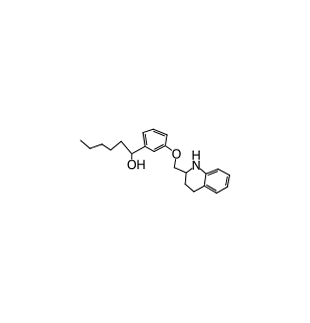 CCCCCC(O)c1cccc(OCC2CCc3ccccc3N2)c1